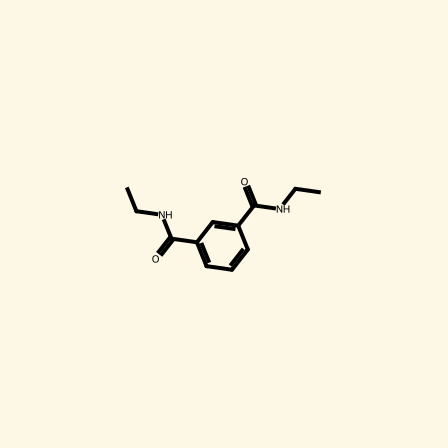 CCNC(=O)c1cccc(C(=O)NCC)c1